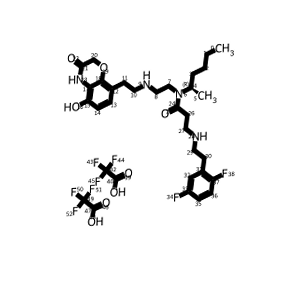 CCCC[C@@H](C)N(CCNCCc1ccc(O)c2c1OCC(=O)N2)C(=O)CCNCCc1cc(F)ccc1F.O=C(O)C(F)(F)F.O=C(O)C(F)(F)F